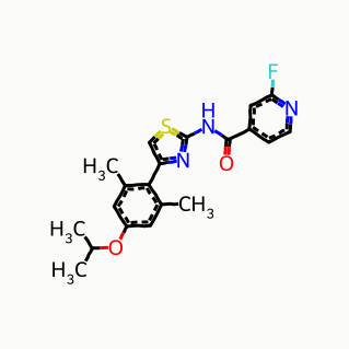 Cc1cc(OC(C)C)cc(C)c1-c1csc(NC(=O)c2ccnc(F)c2)n1